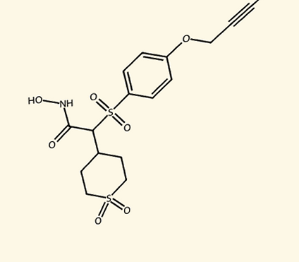 CC#CCOc1ccc(S(=O)(=O)C(C(=O)NO)C2CCS(=O)(=O)CC2)cc1